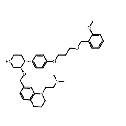 COc1ccccc1COCCCOc1ccc([C@H]2CCNC[C@@H]2OCc2ccc3c(c2)N(CCN(C)C)CCC3)cc1